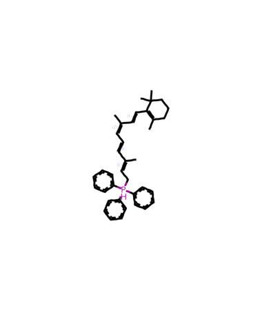 CC1=C(/C=C/C(C)=C\C=C\C(C)=C\C[PH](c2ccccc2)(c2ccccc2)c2ccccc2)C(C)(C)CCC1